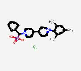 Cc1cc(C)c(-[n+]2ccc(-c3cc[n+](C(c4ccccc4)P(=O)(O)O)cc3)cc2)c(C)c1.[Cl-].[Cl-]